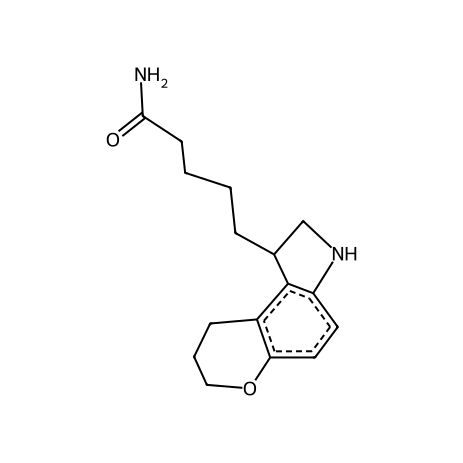 NC(=O)CCCCC1CNc2ccc3c(c21)CCCO3